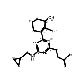 CC(C)CCc1nc(NCC2CC2)nc(C2=C(F)C(O)CCC2)n1